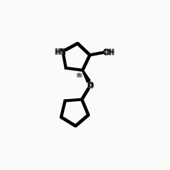 OC1CNC[C@@H]1OC1CCCC1